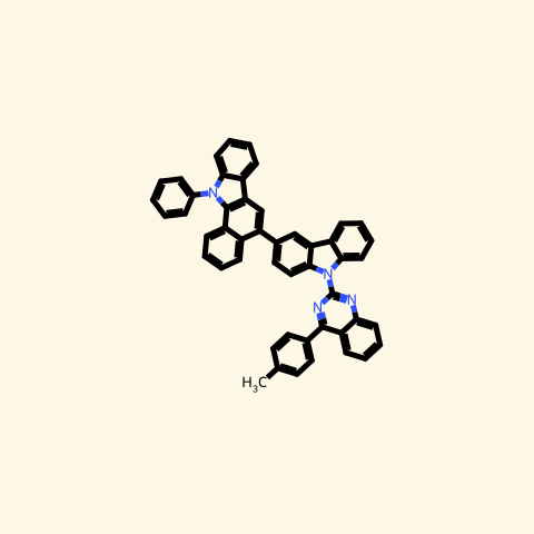 Cc1ccc(-c2nc(-n3c4ccccc4c4cc(-c5cc6c7ccccc7n(-c7ccccc7)c6c6ccccc56)ccc43)nc3ccccc23)cc1